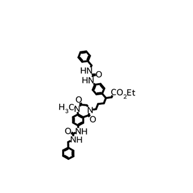 CCOC(=O)CC(CCCN1CC(=O)N(C)c2ccc(NC(=O)NCc3ccccc3)cc2C1=O)c1ccc(NC(=O)NCc2ccccc2)cc1